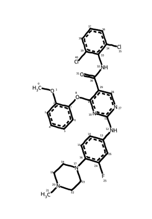 COc1ccccc1Oc1nc(Nc2ccc(N3CCN(C)CC3)c(F)c2)ncc1C(=O)Nc1c(Cl)cccc1Cl